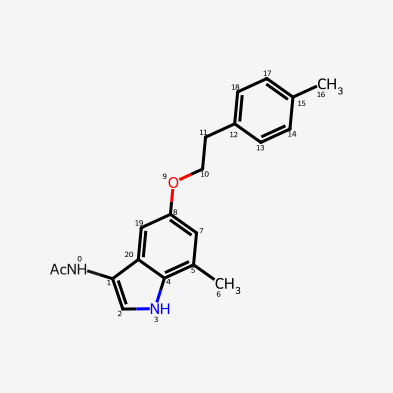 CC(=O)Nc1c[nH]c2c(C)cc(OCCc3ccc(C)cc3)cc12